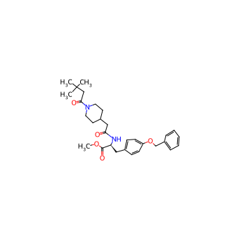 COC(=O)[C@H](Cc1ccc(OCc2ccccc2)cc1)NC(=O)CC1CCN(C(=O)CC(C)(C)C)CC1